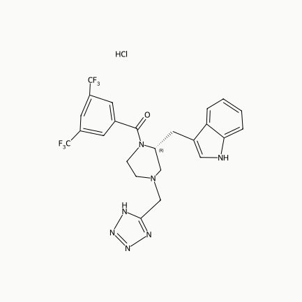 Cl.O=C(c1cc(C(F)(F)F)cc(C(F)(F)F)c1)N1CCN(Cc2nnn[nH]2)C[C@H]1Cc1c[nH]c2ccccc12